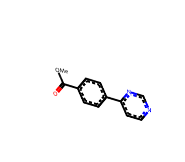 COC(=O)c1ccc(-c2ccncn2)cc1